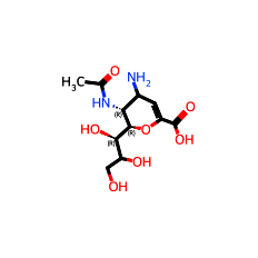 CC(=O)N[C@@H]1C(N)C=C(C(=O)O)O[C@H]1[C@H](O)C(O)CO